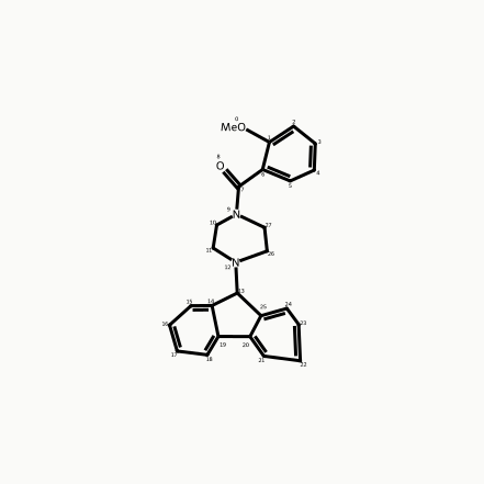 COc1ccccc1C(=O)N1CCN(C2c3ccccc3-c3ccccc32)CC1